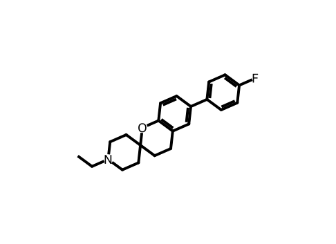 CCN1CCC2(CCc3cc(-c4ccc(F)cc4)ccc3O2)CC1